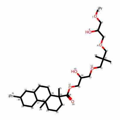 CC(C)OCC(O)COCC(C)(C)COCC(O)COC(=O)C1(C)CCCC2(C)C3CCC(C(C)C)CC3CCC12